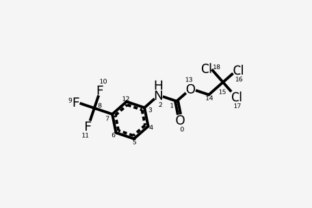 O=C(Nc1cccc(C(F)(F)F)c1)OCC(Cl)(Cl)Cl